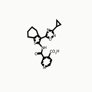 O=C(O)c1ccncc1C(=O)Nc1sc2c(c1-c1nc(C3CC3)no1)CCCC2